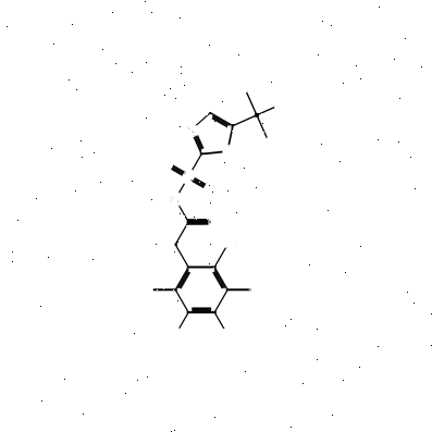 CC(C)c1c(F)c(Cl)c(F)c(C(C)C)c1CC(=O)NS(=O)(=O)c1ncc(C(C)(C)O)s1